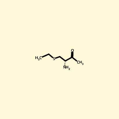 CCSC[C@@H](N)C(C)=O